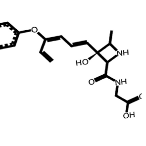 C=C/C(=C\C=C\[C@]1(O)C(C)NC1C(=O)NCC(=O)O)Oc1ccccc1